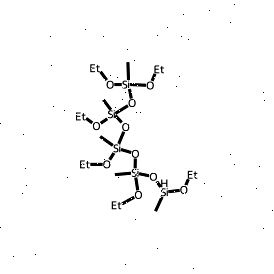 CCO[SiH](C)O[Si](C)(OCC)O[Si](C)(OCC)O[Si](C)(OCC)O[Si](C)(OCC)OCC